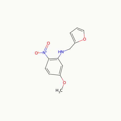 COc1ccc([N+](=O)[O-])c(NCc2ccco2)c1